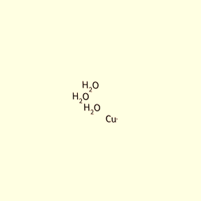 O.O.O.[Cu]